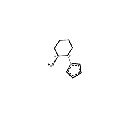 N[C@H]1CCCC[C@@H]1n1cccc1